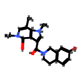 Cc1cn(C)c(=O)c2c(C(=O)N3CCc4ccc(Br)cc4C3)cn(C)c12